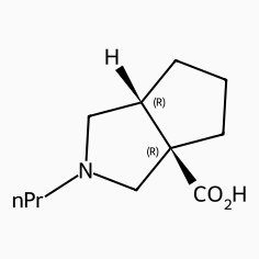 CCCN1C[C@@H]2CCC[C@]2(C(=O)O)C1